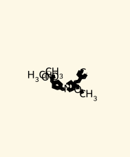 CCOCC1(CCc2ccccc2)CCN(Cc2ccc(CC(=O)N(C)OC)cc2)CC1